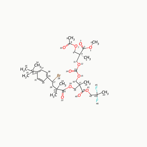 COC(=O)[C@](C)(COC(C)=O)COC(=O)OCC(C)(COC(=O)C(C)(C)CC(Br)c1ccc([Si](C)(C)C)cc1)C(=O)OCC(C)(F)F